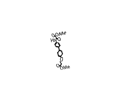 COC(=O)CCOC1CCC(c2ccc(NC(=O)C(=O)OC)cc2)CC1